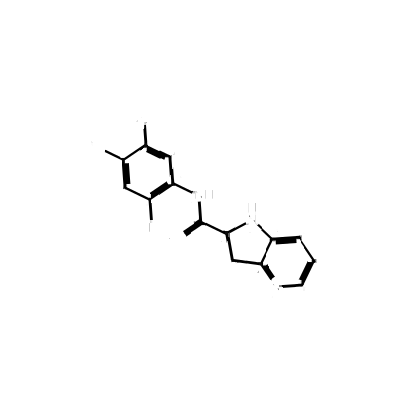 O=C(Nc1cc(Cl)c(F)cc1F)C1Cc2ncccc2N1